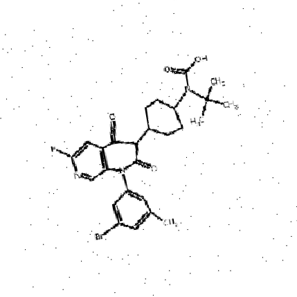 Cc1cc(Br)cc(N2C(=O)C(C3CCC(N(C(=O)O)C(C)(C)C)CC3)C(=O)c3cc(F)ncc32)c1